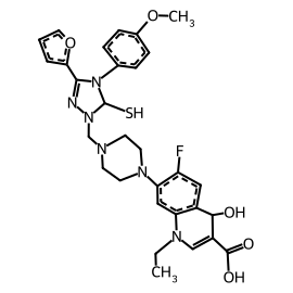 CCN1C=C(C(=O)O)C(O)c2cc(F)c(N3CCN(CN4N=C(c5ccco5)N(c5ccc(OC)cc5)C4S)CC3)cc21